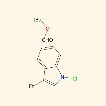 CC(C)(C)OC=O.CCc1cn(Cl)c2ccccc12